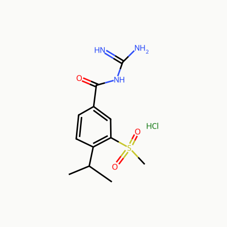 CC(C)c1ccc(C(=O)NC(=N)N)cc1S(C)(=O)=O.Cl